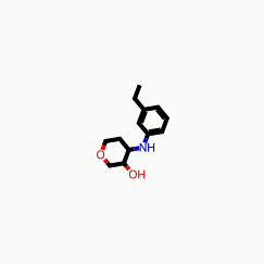 CCc1cccc(NC2CCOCC2O)c1